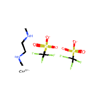 CNCCNC.O=S(=O)([O-])C(F)(F)F.O=S(=O)([O-])C(F)(F)F.[Cu+2]